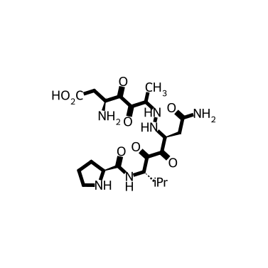 CC(NN[C@@H](CC(N)=O)C(=O)C(=O)[C@@H](NC(=O)[C@@H]1CCCN1)C(C)C)C(=O)C(=O)[C@@H](N)CC(=O)O